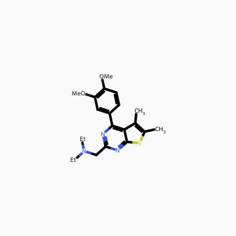 CCN(CC)Cc1nc(-c2ccc(OC)c(OC)c2)c2c(C)c(C)sc2n1